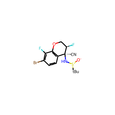 CC(C)(C)[S@+]([O-])N[C@@]1(C#N)c2ccc(Br)c(F)c2OC[C@H]1F